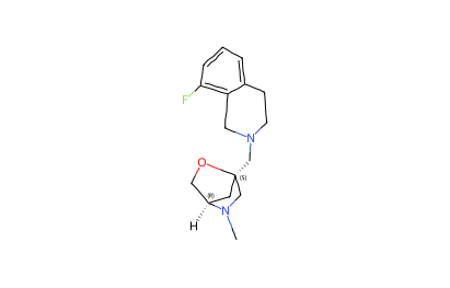 CN1C[C@@]2(CN3CCc4cccc(F)c4C3)C[C@@H]1CO2